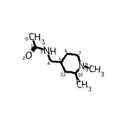 CC(=O)NCC1CCN(C)C(C)C1